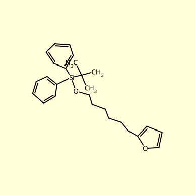 CC(C)(C)[Si](OCCCCCCc1ccco1)(c1ccccc1)c1ccccc1